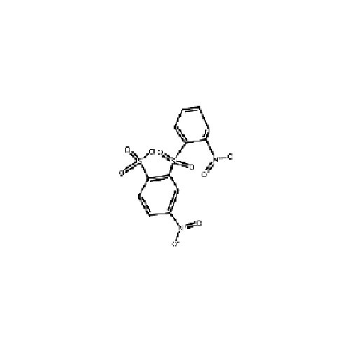 O=[N+]([O-])c1ccc(S(=O)(=O)Cl)c(S(=O)(=O)c2ccccc2[N+](=O)[O-])c1